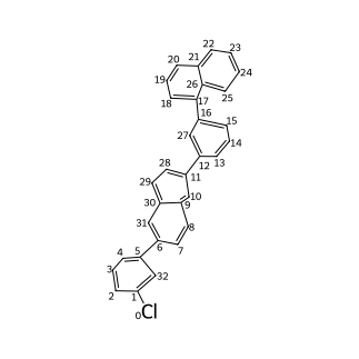 Clc1cccc(-c2ccc3cc(-c4cccc(-c5cccc6ccccc56)c4)ccc3c2)c1